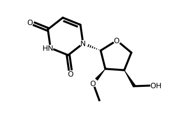 CO[C@@H]1[C@H](CO)CO[C@H]1n1ccc(=O)[nH]c1=O